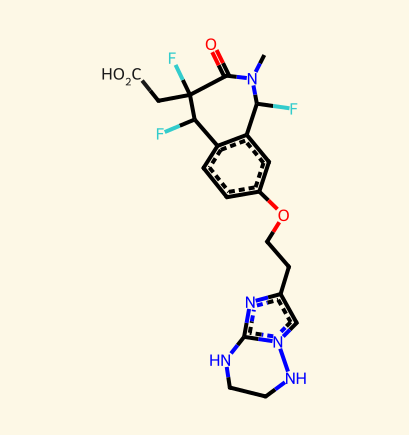 CN1C(=O)C(F)(CC(=O)O)C(F)c2ccc(OCCc3cn4c(n3)NCCN4)cc2C1F